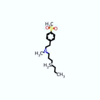 CCC[SiH2]CCCN(C)CCc1ccc(S(C)(=O)=O)cc1